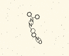 C1=C(CN2CCN(C(c3ccccc3)c3ccccc3)CC2)CCc2cc(N3CCOCC3)ccc21